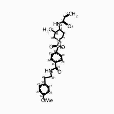 C=CC(=O)NC1CCN(S(=O)(=O)c2ccc(C(=O)NCCc3ccc(OC)cc3)cc2)CC1C